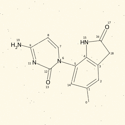 Cc1cc2c(c(-n3ccc(N)nc3=O)c1)NC(=O)C2